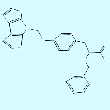 O=C(O)C(Cc1ccc(OCn2c3sccc3c3ccsc32)cc1)OCc1ccccc1